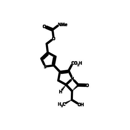 CNC(=O)OCc1csc(C2=C(C(=O)O)N3C(=O)[C@H]([C@@H](C)O)[C@H]3C2)c1